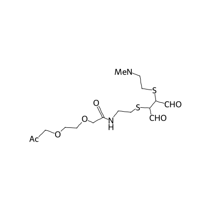 CNCCSC(C=O)C(C=O)SCCNC(=O)COCCOCC(C)=O